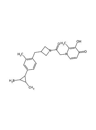 BC1C(C)C1c1ccc(CC2CN(C(=O)Cn3ccc(=O)c(O)c3C)C2)c(C)c1